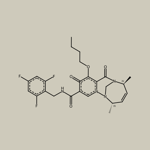 CCCCOc1c2n(cc(C(=O)NCc3c(F)cc(F)cc3F)c1=O)N1CN(C2=O)[C@@H](C)C=C[C@@H]1C